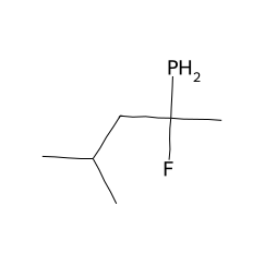 CC(C)CC(C)(F)P